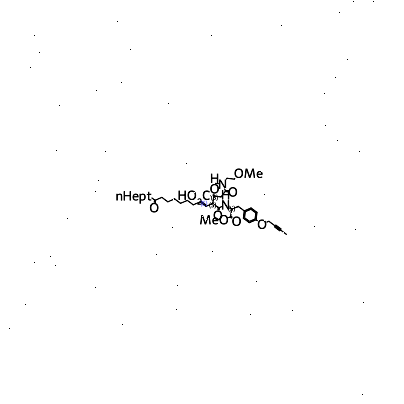 CC#CCOc1ccc(C[C@H](NC(=O)[C@@H](/C=C/CCCCCCC(=O)CCCCCCC)[C@@](O)(CC(=O)N(C)CCOC)C(=O)O)C(=O)OC)cc1